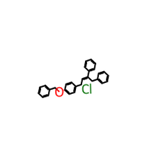 ClC(/C=C(\Cc1ccccc1)c1ccccc1)c1ccc(OCc2ccccc2)cc1